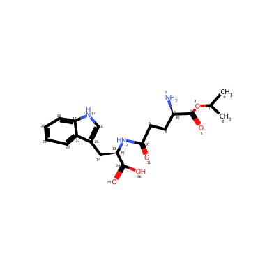 CC(C)OC(=O)[C@H](N)CCC(=O)N[C@H](Cc1c[nH]c2ccccc12)C(=O)O